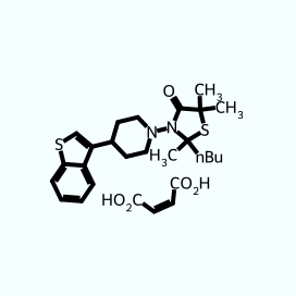 CCCCC1(C)SC(C)(C)C(=O)N1N1CCC(c2csc3ccccc23)CC1.O=C(O)/C=C\C(=O)O